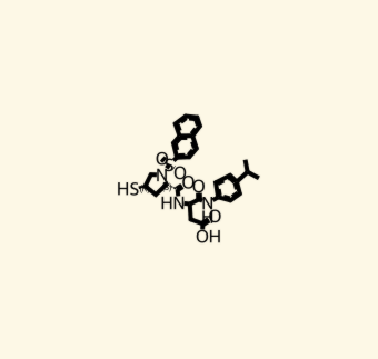 CC(C)c1ccc(NC(=O)C(CC(=O)O)NC(=O)[C@@H]2C[C@@H](S)CN2S(=O)(=O)c2ccc3ccccc3c2)cc1